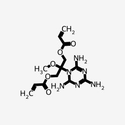 C=CC(=O)OCC(COC(=O)C=C)(OC)N1C(N)=NC(N)=NC1N